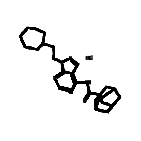 Cl.O=C(Nc1ncnc2c1cnn2CCN1CCCCCC1)C12CC3CC(CC(C3)C1)C2